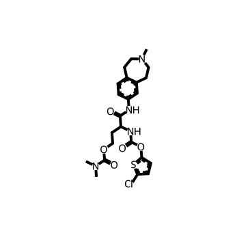 CN1CCc2ccc(NC(=O)C(CCOC(=O)N(C)C)NC(=O)Oc3ccc(Cl)s3)cc2CC1